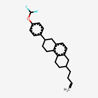 C=CCCC1CCc2c(ccc3c2CCC(c2ccc(OC(F)F)cc2)C3)C1